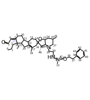 CCCC1(C)/C(=C\C=O)CCC2C3CCC4(CC(C)=C3CC21)OC1CC(C)CN(CCNN(C)SOCCc2ccccc2)C1[C@@H]4C